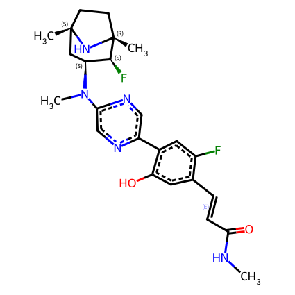 CNC(=O)/C=C/c1cc(O)c(-c2cnc(N(C)[C@H]3C[C@]4(C)CC[C@@](C)(N4)[C@H]3F)cn2)cc1F